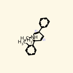 C=C(/C=C\C(=C/NC)c1ccccc1)c1ccccc1C